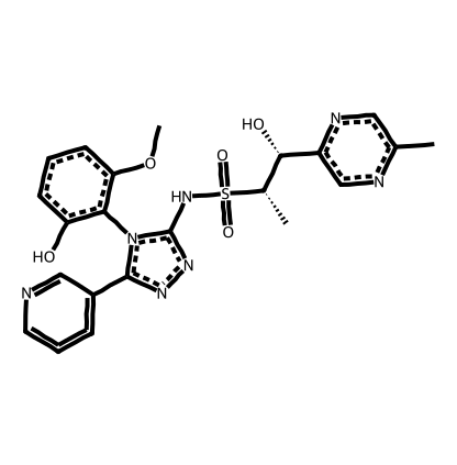 COc1cccc(O)c1-n1c(NS(=O)(=O)[C@@H](C)[C@H](O)c2cnc(C)cn2)nnc1C1=C=C=CN=C1